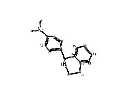 CN(C)c1ccc(C2[N]CCc3ccccc32)cc1